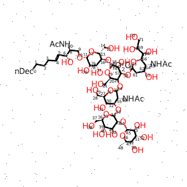 CCCCCCCCCCCCC/C=C/[C@@H](O)[C@H](CO[C@@H]1O[C@H](CO)[C@@H](O[C@@H]2O[C@H](CO)[C@H](O[C@@H]3O[C@H](CO)[C@H](O)[C@H](O[C@@H]4O[C@H](CO)[C@H](O)[C@H](O)[C@H]4O[C@@H]4O[C@@H](C)[C@@H](O)[C@@H](O)[C@@H]4O)[C@H]3NC(C)=O)[C@H](O[C@]3(C(=O)O)C[C@H](O)[C@@H](NC(C)=O)[C@H]([C@H](O)[C@H](O)CO)O3)[C@H]2O)[C@H](O)[C@H]1O)NC(C)=O